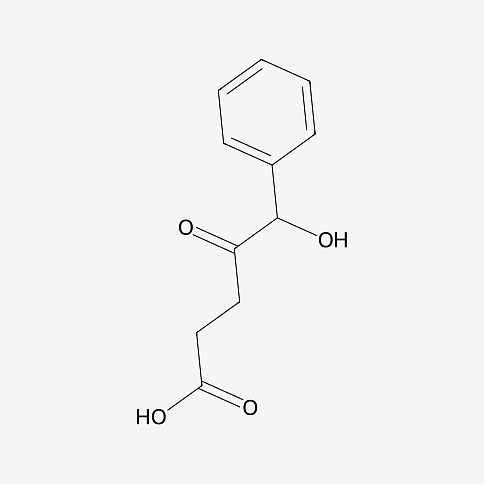 O=C(O)CCC(=O)C(O)c1ccccc1